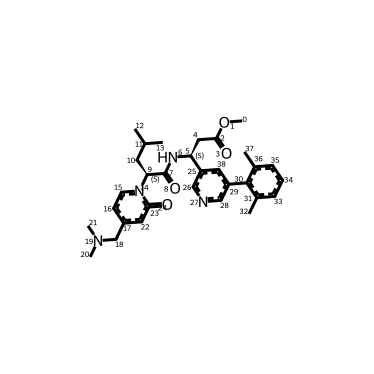 COC(=O)C[C@H](NC(=O)[C@H](CC(C)C)n1ccc(CN(C)C)cc1=O)c1cncc(-c2c(C)cccc2C)c1